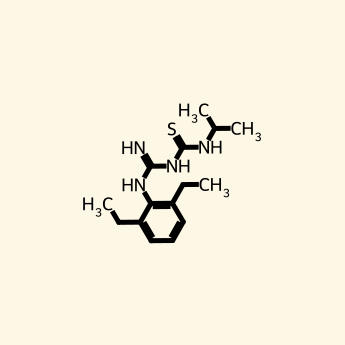 CCc1cccc(CC)c1NC(=N)NC(=S)NC(C)C